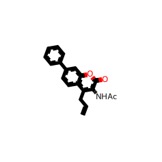 C=CCc1c(NC(C)=O)c(=O)oc2cc(-c3ccccc3)ccc12